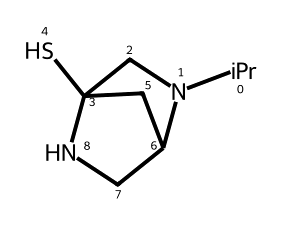 CC(C)N1CC2(S)CC1CN2